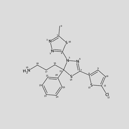 Cc1nnc(N2N=C(c3ccc(Cl)s3)SC2(CCCN)c2ccccc2)s1